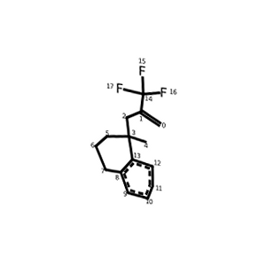 C=C(CC1(C)CCCc2ccccc21)C(F)(F)F